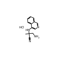 CC(C#N)(CN)Nc1cncc2ccccc12.Cl